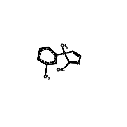 C[N+]1(c2cccc(C(F)(F)F)c2)C=CN=C1C=O